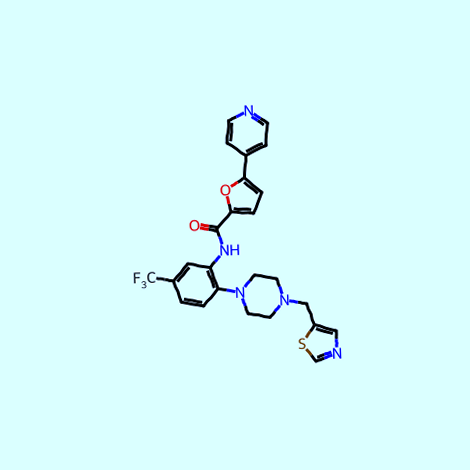 O=C(Nc1cc(C(F)(F)F)ccc1N1CCN(Cc2cncs2)CC1)c1ccc(-c2ccncc2)o1